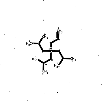 C=CC[PH](CC(C)C)(CC(C)C)CC(C)C